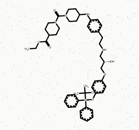 CCOC(=O)C1CCN(C(=O)N2CCC(Nc3ccc(CCNC[C@H](O)COc4ccc(O[Si](c5ccccc5)(c5ccccc5)C(C)(C)C)cc4)cc3)CC2)CC1